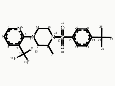 CC1CN(c2ncccc2C(F)(F)F)CCN1S(=O)(=O)c1ccc(C(C)(C)C)cc1